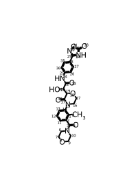 Cc1c(C(=O)N2CCOCC2)cccc1N1CCO[C@H]([C@@H](O)C(=O)Nc2ccc(-c3noc(=O)[nH]3)cc2)C1=O